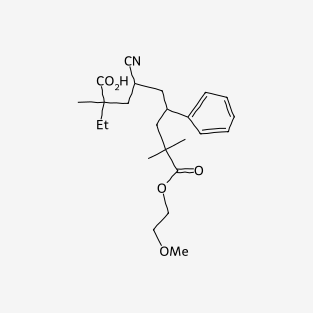 CCC(C)(CC(C#N)CC(CC(C)(C)C(=O)OCCOC)c1ccccc1)C(=O)O